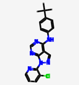 CC(C)(C)c1ccc(Nc2ncnc3c2cnn3-c2ncccc2Cl)cc1